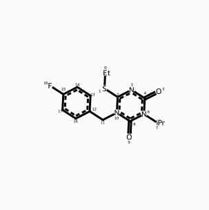 CCSc1nc(=O)n(C(C)C)c(=O)n1Cc1ccc(F)cc1